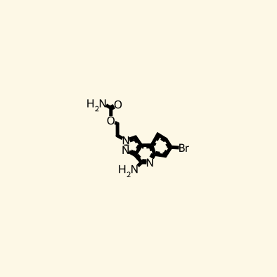 NC(=O)OCCn1cc2c(n1)c(N)nc1cc(Br)ccc12